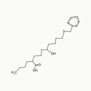 CCCCC(CCCC(O)CCCCSCc1ccccc1)C(=O)O